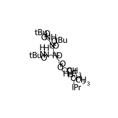 CC(C)CCC[C@@H](C)[C@H]1CC[C@H]2[C@@H]3CC=C4C[C@@H](OC(=O)CCCC(=O)N(CCCCN(CCCNC(=O)OC(C)(C)C)C(=O)OC(C)(C)C)CCCNC(=O)NC(C)(C)C)CC[C@]4(C)[C@H]3CC[C@]12C